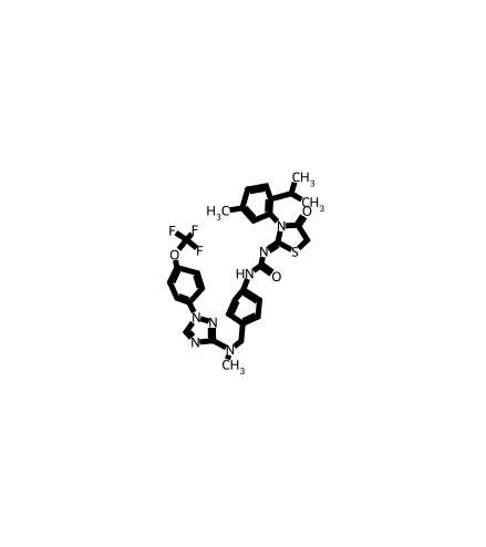 Cc1ccc(C(C)C)c(N2C(=O)CSC2=NC(=O)Nc2ccc(CN(C)c3ncn(-c4ccc(OC(F)(F)F)cc4)n3)cc2)c1